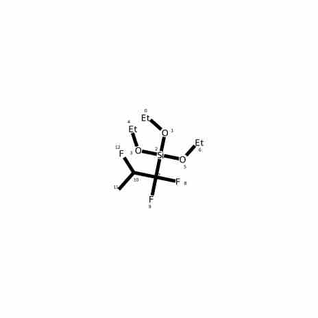 CCO[Si](OCC)(OCC)C(F)(F)C(C)F